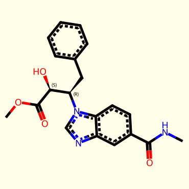 CNC(=O)c1ccc2c(c1)ncn2[C@H](Cc1ccccc1)[C@H](O)C(=O)OC